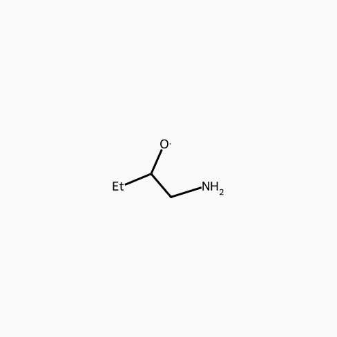 CCC([O])CN